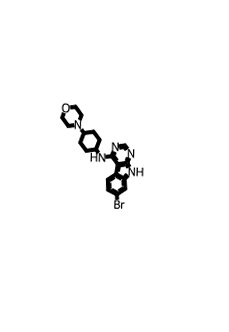 Brc1ccc2c(c1)[nH]c1ncnc(NC3CCC(N4CCOCC4)CC3)c12